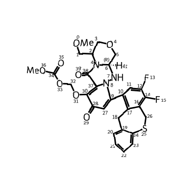 COCC1COC[C@H]2Nn3c(-c4cc(F)c(F)c5c4Cc4ccccc4SC5)cc(=O)c(OCOC(=O)OC)c3C(=O)N12